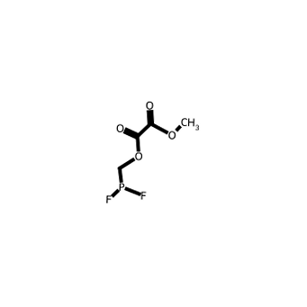 COC(=O)C(=O)OCP(F)F